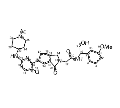 COc1cccc([C@@H](CO)NC(=O)CN2Cc3ccc(-c4nc(NC5CCN(C(C)=O)CC5)ncc4Cl)cc3C2=O)c1